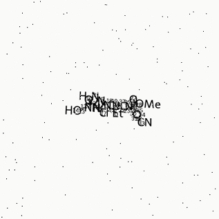 CC[C@H]1CN(c2nc(N)c(C(=O)NCCO)nc2Cl)CCN1C1CCN([C@@H](C(=O)OC)c2ccc(C#N)cc2)CC1